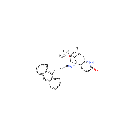 C/C=C1\[C@H]2C=C(C)C[C@]1(N=CC=Cc1c3ccccc3cc3ccccc13)c1ccc(=O)[nH]c1C2